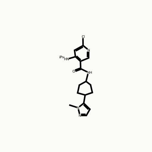 CC(C)Nc1cc(Cl)ncc1C(=O)NC1CCC(c2ccnn2C)CC1